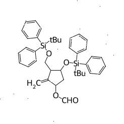 C=C1C(OC=O)CC(O[Si](c2ccccc2)(c2ccccc2)C(C)(C)C)C1CO[Si](c1ccccc1)(c1ccccc1)C(C)(C)C